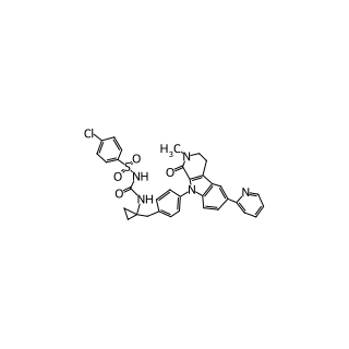 CN1CCc2c(n(-c3ccc(CC4(NC(=O)NS(=O)(=O)c5ccc(Cl)cc5)CC4)cc3)c3ccc(-c4ccccn4)cc23)C1=O